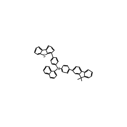 CC1(C)c2ccccc2-c2ccc(-c3ccc(N(c4ccc(-c5cccc6c5sc5ccccc56)cc4)c4cccc5ccccc45)cc3)cc21